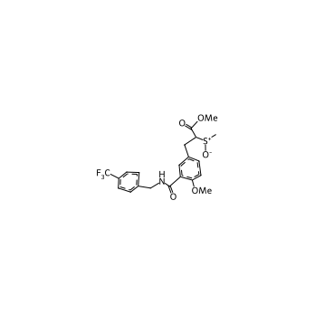 COC(=O)C(Cc1ccc(OC)c(C(=O)NCc2ccc(C(F)(F)F)cc2)c1)[S+](C)[O-]